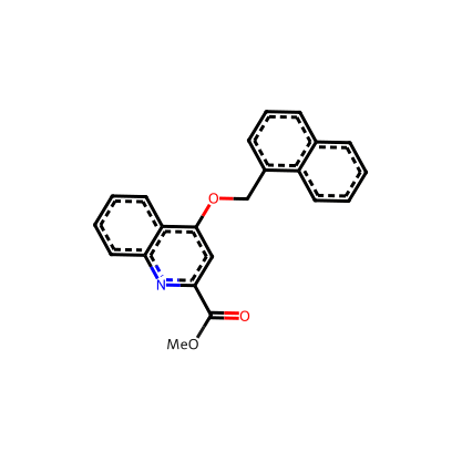 COC(=O)c1cc(OCc2cccc3ccccc23)c2ccccc2n1